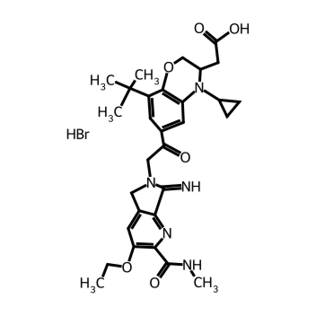 Br.CCOc1cc2c(nc1C(=O)NC)C(=N)N(CC(=O)c1cc3c(c(C(C)(C)C)c1)OCC(CC(=O)O)N3C1CC1)C2